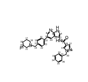 O=C(Nc1c[nH]c2ncc(-c3ccc(CN4CCCC(F)C4)cc3)cc12)c1cnn(Cc2ccccc2)c1